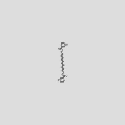 S=C(SSCCCCCCCCCCSSC(=S)C1CNCCO1)C1CNCCO1